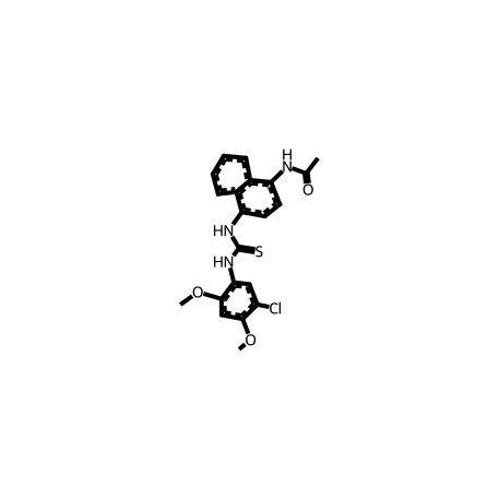 COc1cc(OC)c(NC(=S)Nc2ccc(NC(C)=O)c3ccccc23)cc1Cl